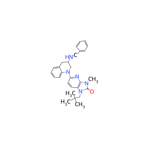 Cn1c(=O)n(CC(C)(C)C)c2ccc(N3CC(NCc4ccccc4)Cc4ccccc43)nc21